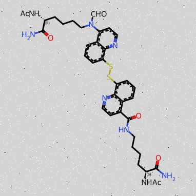 CC(=O)N[C@@H](CCCCNC(=O)c1ccnc2c(SSc3cccc4c(N(C=O)CCCC[C@@H](NC(C)=O)C(N)=O)ccnc34)cccc12)C(N)=O